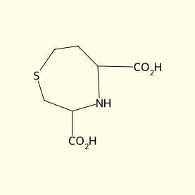 O=C(O)C1CCSCC(C(=O)O)N1